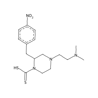 CN(C)CCN1CCN(C(=S)S)C(Cc2ccc([N+](=O)[O-])cc2)C1